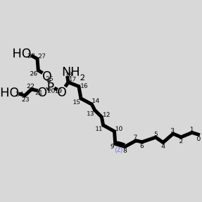 CCCCCCCC/C=C\CCCCCCCC(N)OP(OCCO)OCCO